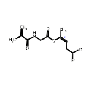 C=C(C)C(=O)NCC(=O)O/C(C)=C\CC(CC)CC